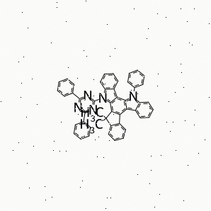 CC1(C)c2ccccc2-c2c1c1c(c3ccccc3n1-c1nc(-c3ccccc3)nc(-c3ccccc3)n1)c1c2c2ccccc2n1-c1ccccc1